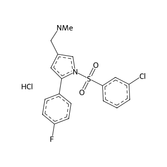 CNCc1cc(-c2ccc(F)cc2)n(S(=O)(=O)c2cccc(Cl)c2)c1.Cl